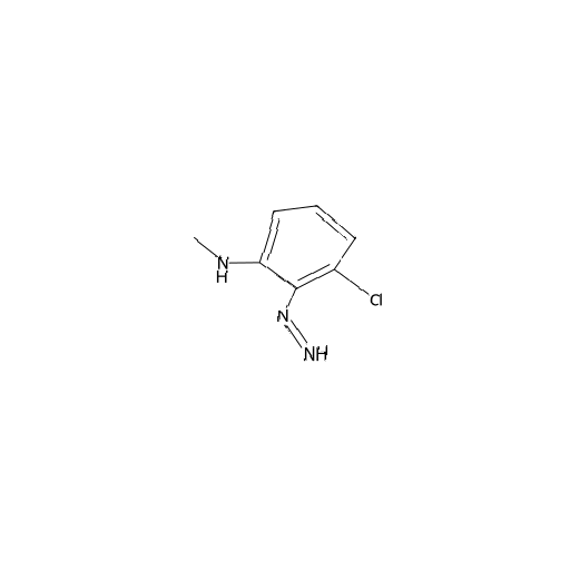 CNc1cccc(Cl)c1N=N